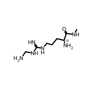 CNC(=O)[C@@H](N)CCCNC(=N)NCN